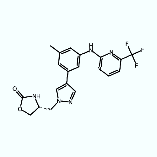 Cc1cc(Nc2nccc(C(F)(F)F)n2)cc(-c2cnn(C[C@@H]3COC(=O)N3)c2)c1